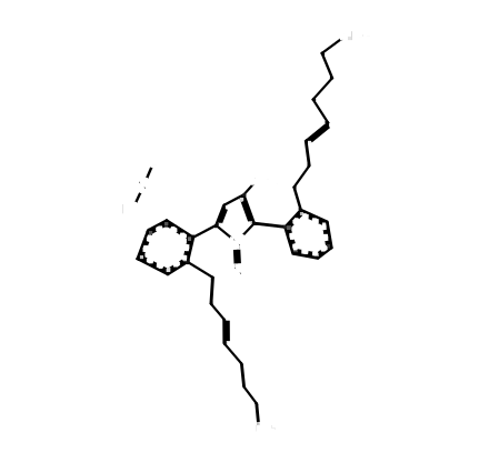 CCCCCCCCCCCCCC=CCCc1ccccc1C1=CC(CCCC)=C(c2ccccc2CCC=CCCCCCCCCCCCCC)[N+]1=[N-].C[CH2][Ni][CH2]C